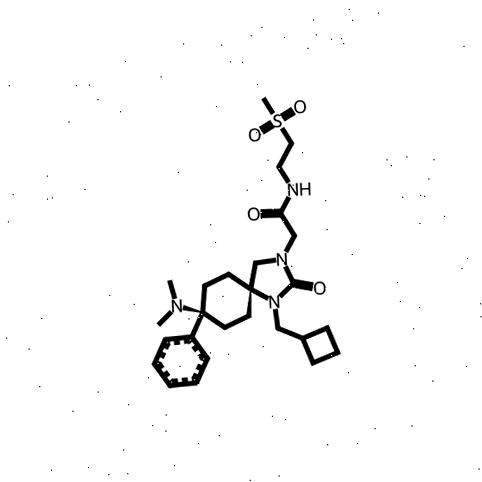 CN(C)[C@]1(c2ccccc2)CC[C@@]2(CC1)CN(CC(=O)NCCS(C)(=O)=O)C(=O)N2CC1CCC1